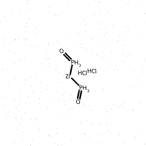 Cl.Cl.O=[PH2][Zr][PH2]=O